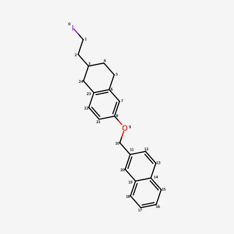 ICCC1CCc2cc(OCc3ccc4ccccc4c3)ccc2C1